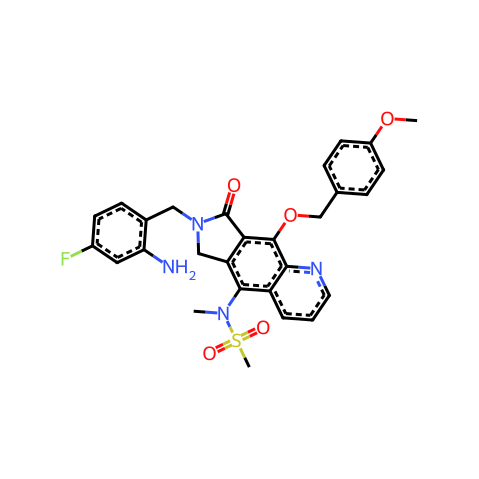 COc1ccc(COc2c3c(c(N(C)S(C)(=O)=O)c4cccnc24)CN(Cc2ccc(F)cc2N)C3=O)cc1